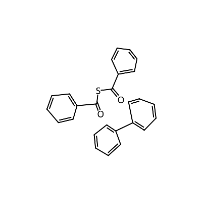 O=C(SC(=O)c1ccccc1)c1ccccc1.c1ccc(-c2ccccc2)cc1